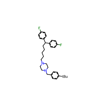 CC(C)(C)c1ccc(CN2CCN(CCCCCC(c3ccc(F)cc3)c3ccc(F)cc3)CC2)cc1